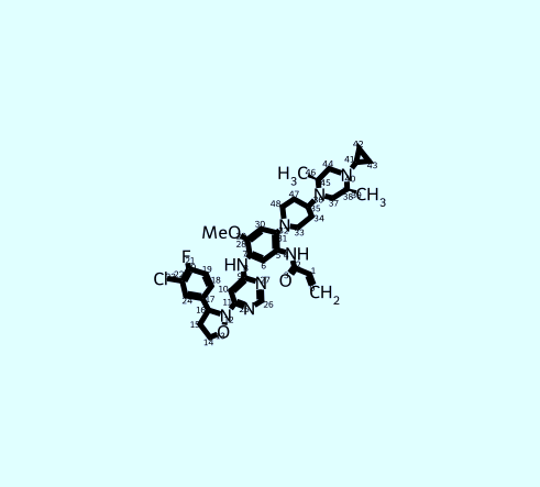 C=CC(=O)Nc1cc(Nc2cc(N3OCCC3c3ccc(F)c(Cl)c3)ncn2)c(OC)cc1N1CCC(N2C[C@H](C)N(C3CC3)C[C@@H]2C)CC1